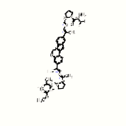 COC(=O)N[C@@H](CN1CCC[C@@H]1/C(C)=N/C=C(\C)c1ccc2c(c1)OCn1c-2cc2cc(/C(C)=C/N=C/[C@@H]3CCCN3C(=O)[C@@H](N)C(F)F)ccc21)C(C)C